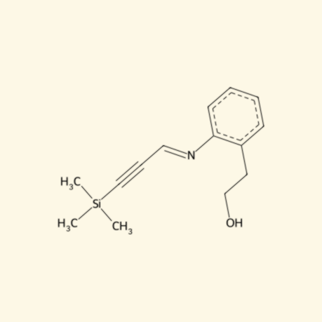 C[Si](C)(C)C#C/C=N/c1ccccc1CCO